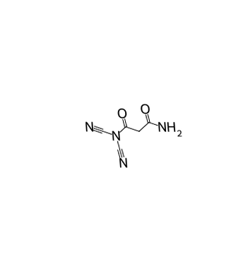 N#CN(C#N)C(=O)CC(N)=O